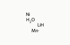 O.[LiH].[Mn].[Ni]